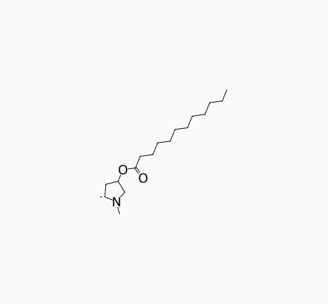 CCCCCCCCCCCC(=O)OC1C[CH]N(C)C1